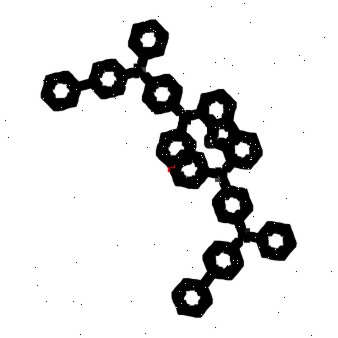 c1ccc(-c2ccc(N(c3ccccc3)c3ccc(N(c4ccccc4)c4cccc5c4oc4c(N(c6ccccc6)c6ccc(N(c7ccccc7)c7ccc(-c8ccccc8)cc7)cc6)cccc45)cc3)cc2)cc1